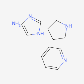 C1CCNC1.N.c1c[nH]cn1.c1ccncc1